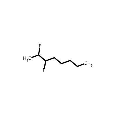 CCCCCC(F)C(C)F